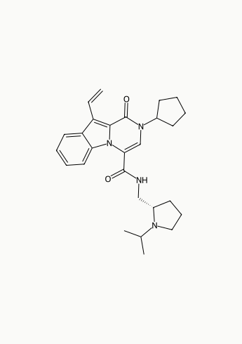 C=Cc1c2ccccc2n2c(C(=O)NC[C@@H]3CCCN3C(C)C)cn(C3CCCC3)c(=O)c12